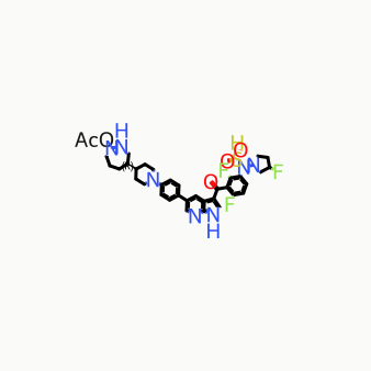 CC(=O)ON1CCC[C@H](C2CCN(c3ccc(-c4cnc5[nH]cc(C(=O)c6c(F)ccc(N(N7CCC(F)C7)[SH](=O)=O)c6F)c5c4)cc3)CC2)CN1